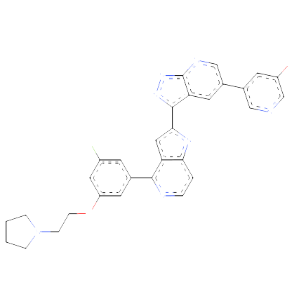 Oc1cncc(-c2cnc3[nH]nc(-c4cc5c(-c6cc(F)cc(OCCN7CCCC7)c6)nccc5[nH]4)c3c2)c1